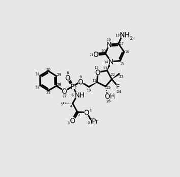 CC(C)OC(=O)[C@H](C)NP(=O)(OC[C@H]1O[C@@H](n2ccc(N)nc2=O)[C@](C)(F)[C@@H]1O)Oc1ccccc1